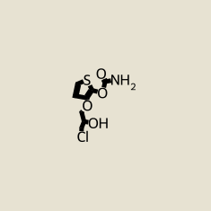 NC(=O)Oc1sccc1OCC(O)CCl